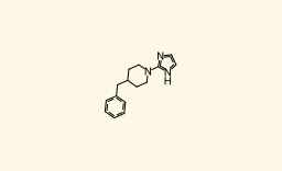 c1ccc(CC2CCN(c3ncc[nH]3)CC2)cc1